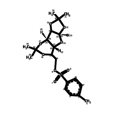 Cc1ccc(S(=O)(=O)OCC2OC(C)(C)O[C@H]3C4OC(C)(C)O[C@H]4O[C@H]23)cc1